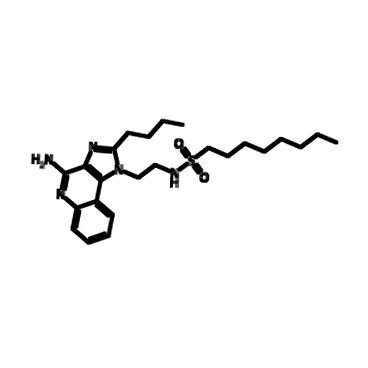 CCCCCCCCS(=O)(=O)NCCn1c(CCCC)nc2c(N)nc3ccccc3c21